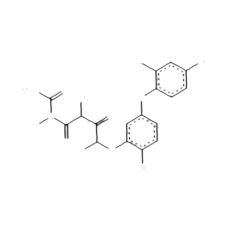 COC(=O)N(C)C(=O)C(C#N)C(=O)C(C)Oc1cc(Oc2ccc(C(F)(F)F)cc2Cl)ccc1[N+](=O)[O-]